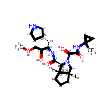 O=C(NC1(C(F)(F)F)CC1)C(=O)N1C[C@@H]2CCC[C@@H]2[C@H]1C(=O)N[C@@H](C[C@@H]1CCNC1)C(=O)COC(F)(F)F